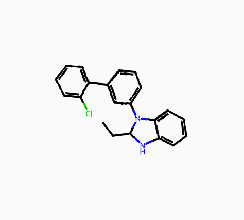 CCC1Nc2ccccc2N1c1cccc(-c2ccccc2Cl)c1